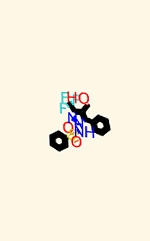 O=S(=O)(Nn1nc(C(F)(F)F)c(CO)c1-c1ccccc1)c1ccccc1